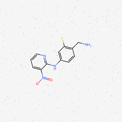 NCc1ccc(Nc2ncccc2[N+](=O)[O-])cc1F